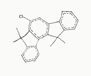 CC1(C)c2ccccc2-c2c1c(Cl)cc1c2C(C)(C)c2ccccc2-1